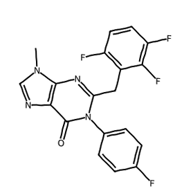 Cn1cnc2c(=O)n(-c3ccc(F)cc3)c(Cc3c(F)ccc(F)c3F)nc21